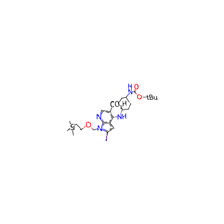 CC(C)(C)OC(=O)NC1CCC(Nc2c(C(=O)O)cnc3c2cc(I)n3COCC[Si](C)(C)C)CC1